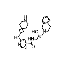 O=C(NC[C@H](O)CN1CCc2ccccc2C1)c1cc(NC2CC3(CCNCC3)C2)ncn1